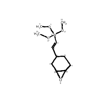 CO[Si](C=CC1CCC2OC2C1)(OC)OC